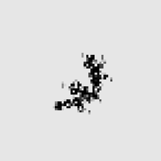 COc1cc(P2(=O)CCN(C(=O)N(C)CC3=C(Cl)C(Nc4ccccc4P(C)(C)=O)=NC(Nc4ccc(N5CCC(N6CCOCC6)CC5)cc4OC)N3)CC2)ccc1Nc1ncc(Cl)c(Nc2ccccc2S(=O)(=O)C(C)C)n1